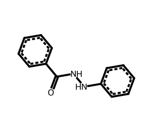 O=C(NNc1ccccc1)c1ccccc1